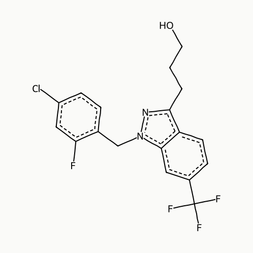 OCCCc1nn(Cc2ccc(Cl)cc2F)c2cc(C(F)(F)F)ccc12